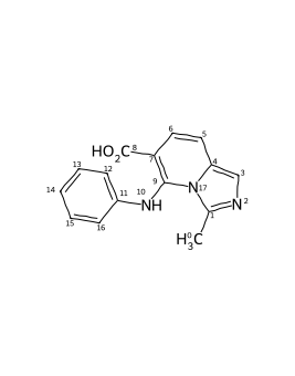 Cc1ncc2ccc(C(=O)O)c(Nc3ccccc3)n12